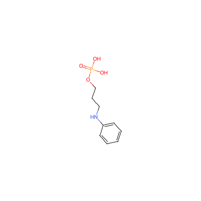 O=P(O)(O)OCCCNc1ccccc1